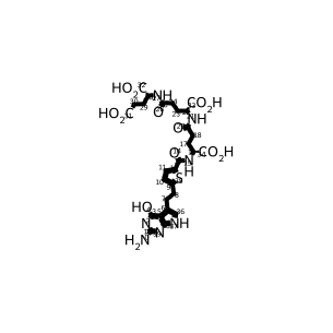 Nc1nc(O)c2c(CCc3ccc(C(=O)N[C@@H](CCC(=O)N[C@@H](CCC(=O)N[C@@H](CCC(=O)O)C(=O)O)C(=O)O)C(=O)O)s3)c[nH]c2n1